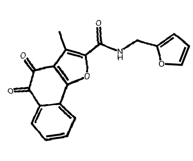 Cc1c(C(=O)NCc2ccco2)oc2c1C(=O)C(=O)c1ccccc1-2